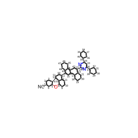 N#Cc1ccc2c(c1)Oc1cccc3c(-c4cc5c6ccccc6c(-c6nc(-c7ccccc7)cc(-c7ccccc7)n6)cc5c5ccccc45)ccc-2c13